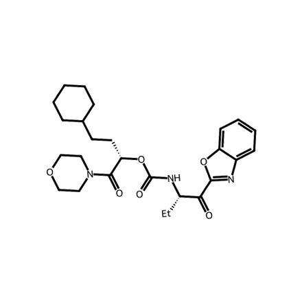 CC[C@H](NC(=O)O[C@@H](CCC1CCCCC1)C(=O)N1CCOCC1)C(=O)c1nc2ccccc2o1